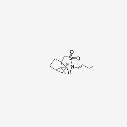 CCC=CN1[C@@H]2CC3CCC2(CS1(=O)=O)C3(C)C